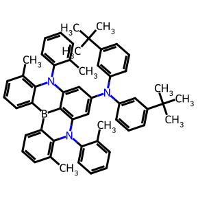 Cc1ccccc1N1c2cc(N(c3cccc(C(C)(C)C)c3)c3cccc(C(C)(C)C)c3)cc3c2B(c2cccc(C)c21)c1cccc(C)c1N3c1ccccc1C